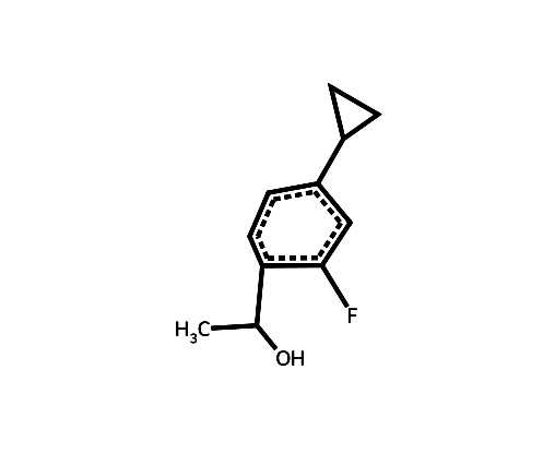 CC(O)c1ccc(C2CC2)cc1F